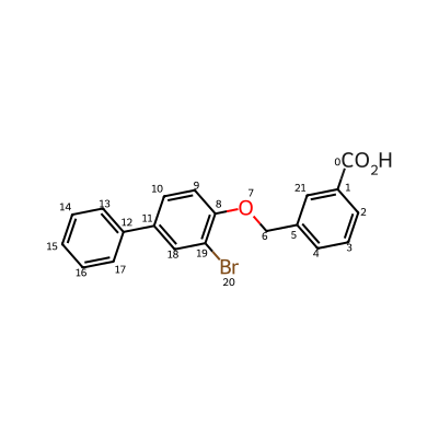 O=C(O)c1cccc(COc2ccc(-c3ccccc3)cc2Br)c1